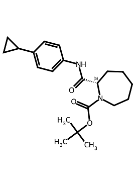 CC(C)(C)OC(=O)N1CCCCC[C@H]1C(=O)Nc1ccc(C2CC2)cc1